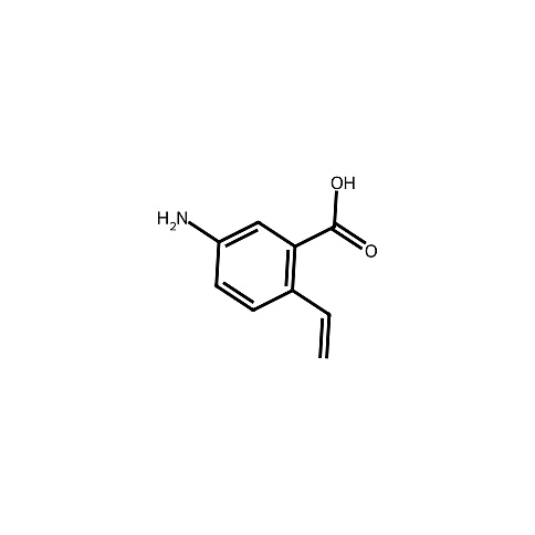 C=Cc1ccc(N)cc1C(=O)O